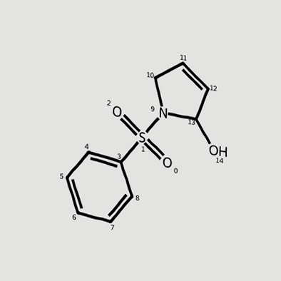 O=S(=O)(c1ccccc1)N1CC=CC1O